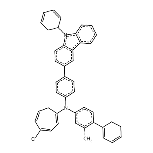 Cc1cc(N(C2=CC=C(Cl)C=CC2)c2ccc(-c3ccc4c(c3)c3ccccc3n4C3C=CC=CC3)cc2)ccc1C1=CC=CCC1